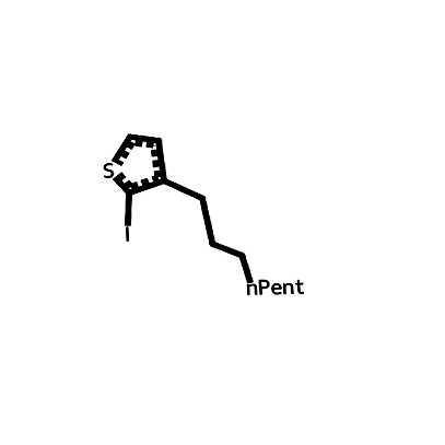 CCCCCCCCc1ccsc1I